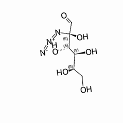 [N-]=[N+]=N[C@](O)(C=O)[C@@H](O)[C@@H](O)[C@H](O)CO